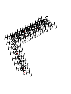 CCC=CC(=O)O.CCC=CC(=O)O.CCC=CC(=O)O.CCC=CC(=O)O.CCC=CC(=O)O.CCC=CC(=O)O.CCC=CC(=O)O.CCC=CC(=O)O.CCC=CC(=O)O.CCC=CC(=O)O.CCC=CC(=O)O.CCC=CC(=O)O.CCC=CC(=O)O.CCC=CC(=O)O.CCC=CC(=O)O.CCC=CC(=O)O.CCC=CC(=O)O.CCC=CC(=O)O.CCC=CC(=O)O.CCC=CC(=O)O.CCC=CC(=O)OCC